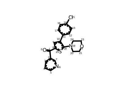 O=C(c1cccnc1)c1cc(-c2ccc(Cl)cc2)c(N2CCOCC2)s1